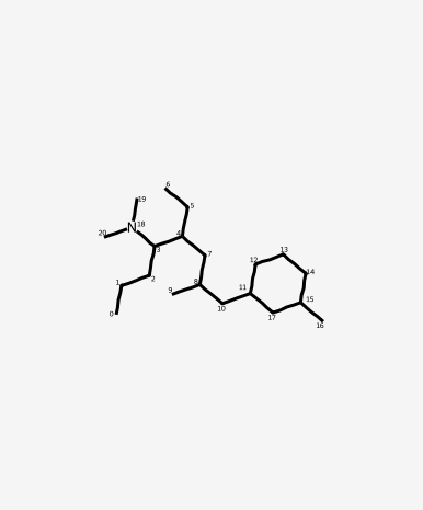 CCCC(C(CC)CC(C)CC1CCCC(C)C1)N(C)C